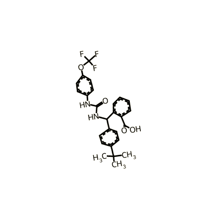 CC(C)(C)c1ccc(C(NC(=O)Nc2ccc(OC(F)(F)F)cc2)c2ccccc2C(=O)O)cc1